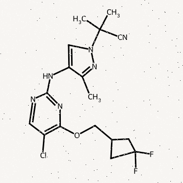 Cc1nn(C(C)(C)C#N)cc1Nc1ncc(Cl)c(OCC2CC(F)(F)C2)n1